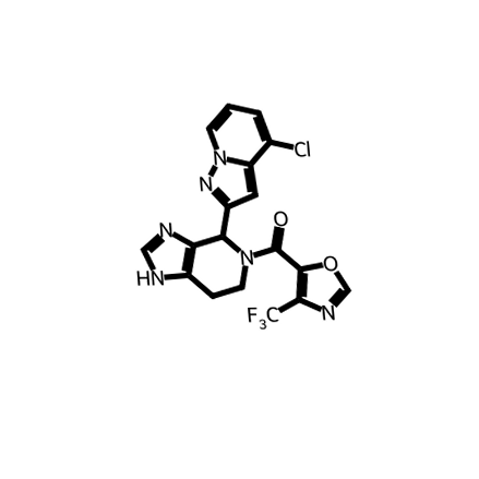 O=C(c1ocnc1C(F)(F)F)N1CCc2[nH]cnc2C1c1cc2c(Cl)cccn2n1